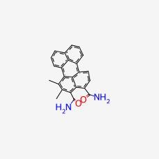 Cc1c(C(N)=O)c2c(C(N)=O)ccc3c4cccc5cccc(c(c1C)c23)c54